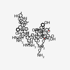 CCC(C)C(NC(=O)C(Cc1ccc(O)cc1)NC(=O)C1CCCN1C(=O)C(CCCNC(=N)N)NC(=O)C(CCCNC(=N)N)NC(=O)C1CCCN1C(=O)C(CCCCN)NC(=O)C(CC(N)=O)NC(=O)C(CC(=O)O)NC(=O)C(Cc1ccc(O)cc1)NC(=O)C(CC(C)C)NC(=O)C(CCC(=O)O)NC(=O)CCOCCOCCOCCN)C(=O)NC(CC(C)C)C(=O)O